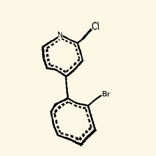 Clc1[c]c(-c2ccccc2Br)ccn1